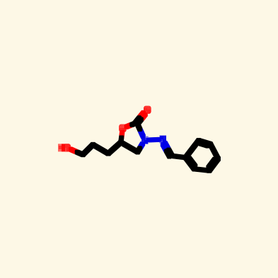 O=C1OC(CCCO)CN1N=Cc1ccccc1